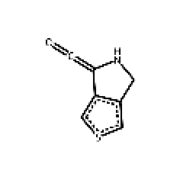 O=C=C1NCc2cscc21